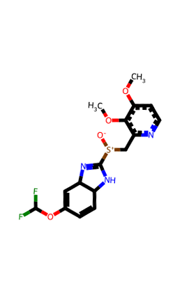 COc1ccnc(C[S+]([O-])C2=NC3C=C(OC(F)F)C=CC3N2)c1OC